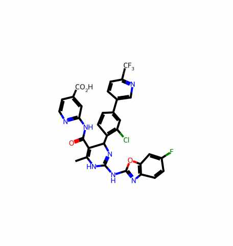 CC1=C(C(=O)Nc2cc(C(=O)O)ccn2)C(c2ccc(-c3ccc(C(F)(F)F)nc3)cc2Cl)N=C(Nc2nc3ccc(F)cc3o2)N1